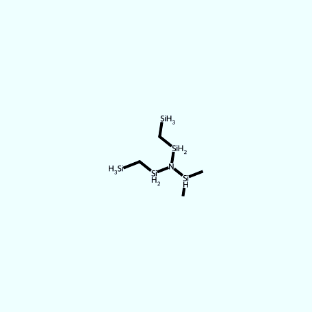 C[SiH](C)N([SiH2]C[SiH3])[SiH2]C[SiH3]